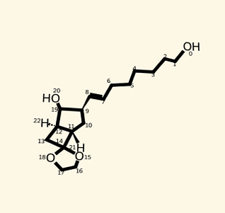 OCCCCCCC=C[C@H]1C[C@H]2[C@@H](CC23OCCO3)C1O